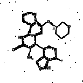 Nc1c(-c2ccc(F)c3[nH]ncc23)c2cc(O[C@@H]3CCCOC3)c3ncccc3c2[nH]c1=O